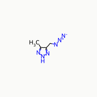 Cc1n[nH]nc1CN=[N+]=[N-]